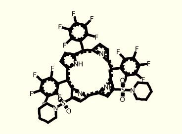 O=S(=O)(C1=Cc2nc1c(-c1c(F)c(F)c(F)c(F)c1F)c1ccc([nH]1)c(-c1c(F)c(F)c(F)c(F)c1F)c1ccc([nH]1)c(-c1c(F)c(F)c(F)c(F)c1F)c1[nH]c2cc1S(=O)(=O)N1CCCCC1)N1CCCCC1